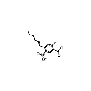 CCCCC=Cc1cc(C)c(C(=O)Cl)cc1[N+](=O)[O-]